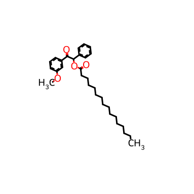 CCCCCCCCCCCCCCCC(=O)OC(C(=O)c1cccc(OC)c1)c1ccccc1